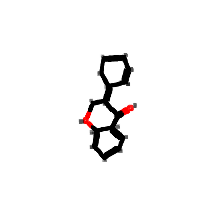 O=C1C(=C2C=CC=CC2)COc2ccccc21